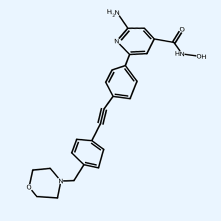 Nc1cc(C(=O)NO)cc(-c2ccc(C#Cc3ccc(CN4CCOCC4)cc3)cc2)n1